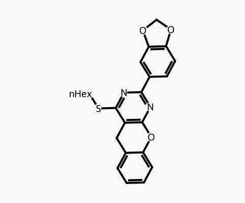 CCCCCCSc1nc(-c2ccc3c(c2)OCO3)nc2c1Cc1ccccc1O2